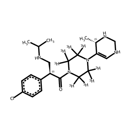 [2H]C1([2H])N(C(=O)[C@H](CNC(C)C)c2ccc(Cl)cc2)C([2H])([2H])C([2H])([2H])N(C2=CNCN[C@H]2C)C1([2H])[2H]